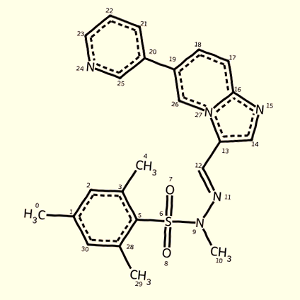 Cc1cc(C)c(S(=O)(=O)N(C)N=Cc2cnc3ccc(-c4cccnc4)cn23)c(C)c1